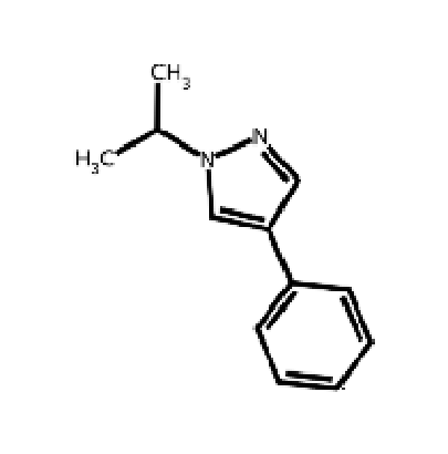 CC(C)n1cc(-c2cc[c]cc2)cn1